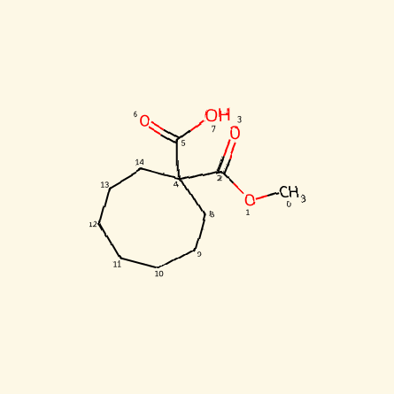 COC(=O)C1(C(=O)O)CCCCCCC1